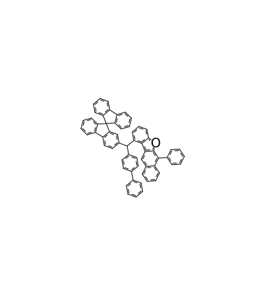 c1ccc(-c2ccc(C(c3ccc4c(c3)C3(c5ccccc5-c5ccccc53)c3ccccc3-4)c3cccc4oc5c(-c6ccccc6)c6ccccc6cc5c34)cc2)cc1